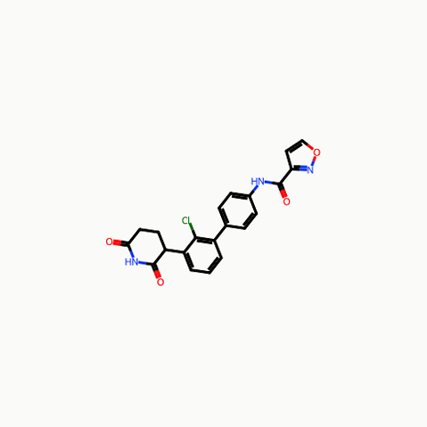 O=C1CCC(c2cccc(-c3ccc(NC(=O)c4ccon4)cc3)c2Cl)C(=O)N1